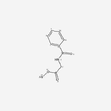 O=C(CNC(=O)c1ccccc1)OS